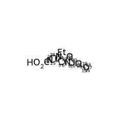 CCn1c2c(c3ccc(-n4ccc(OCc5ccccc5)cc4=O)cc31)CN(C(=O)O)CC2